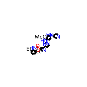 CCc1cccc(CC)c1NC(=O)Oc1cc(-c2ccnc(Nc3ccc(NC4CCN(C)CC4)cc3OC)n2)n(C)c1